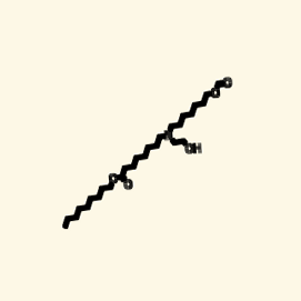 CCCCCCCCCOC(=O)CCCCCCCN(CCO)CCCCCCCOC=O